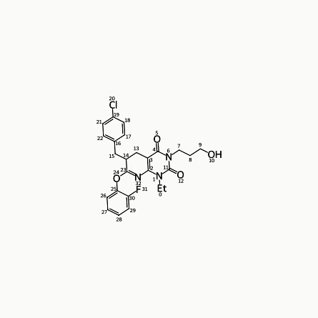 CCn1c2c(c(=O)n(CCCO)c1=O)CC(Cc1ccc(Cl)cc1)C(Oc1ccccc1F)=N2